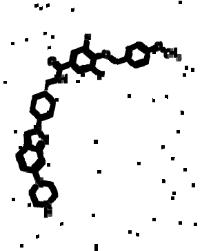 COc1ccc(COc2c(F)cc(C(=O)NC[C@H]3CC[C@H](n4cc5ccc(N6CCNCC6)cc5n4)CC3)cc2F)cc1